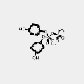 CS(=O)(Oc1ccc(O)cc1)(Oc1ccc(O)cc1)OS(=O)(=O)C(F)(F)F